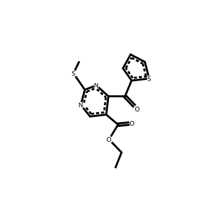 CCOC(=O)c1cnc(SC)nc1C(=O)c1cccs1